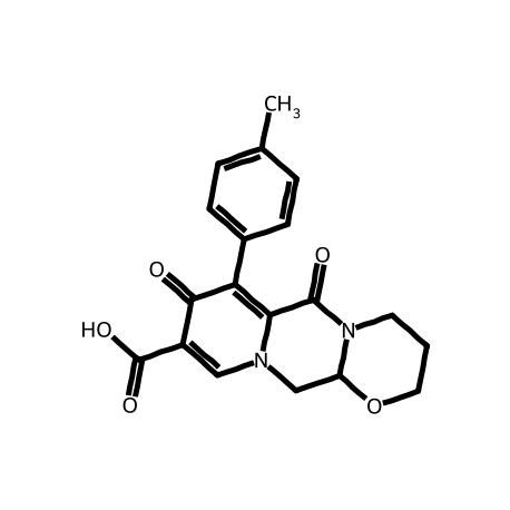 Cc1ccc(-c2c3n(cc(C(=O)O)c2=O)CC2OCCCN2C3=O)cc1